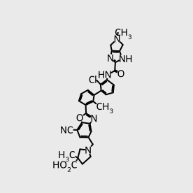 Cc1c(-c2nc3cc(CN4CC[C@@](C)(C(=O)O)C4)cc(C#N)c3o2)cccc1-c1cccc(NC(=O)c2nc3c([nH]2)CN(C)C3)c1Cl